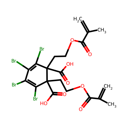 C=C(C)C(=O)OCCC1(C(=O)O)C(Br)=C(Br)C(Br)=C(Br)C1(CCOC(=O)C(=C)C)C(=O)O